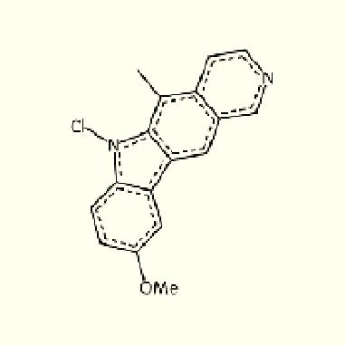 COc1ccc2c(c1)c1cc3cnccc3c(C)c1n2Cl